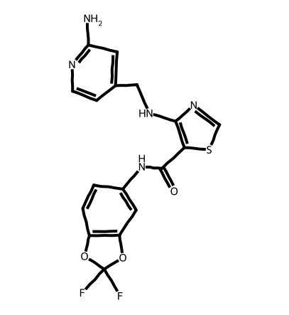 Nc1cc(CNc2ncsc2C(=O)Nc2ccc3c(c2)OC(F)(F)O3)ccn1